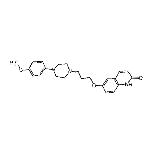 COc1ccc(N2CCN(CCCOc3ccc4[nH]c(=O)ccc4c3)CC2)cc1